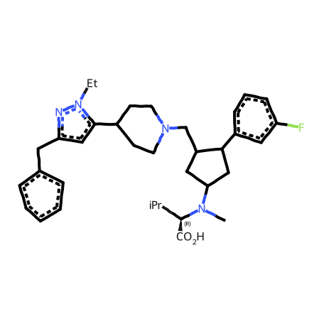 CCn1nc(Cc2ccccc2)cc1C1CCN(CC2CC(N(C)[C@@H](C(=O)O)C(C)C)CC2c2cccc(F)c2)CC1